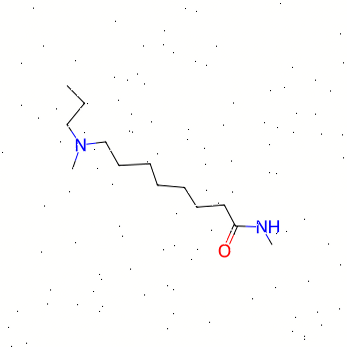 CCCN(C)CCCCCCCC(=O)NC